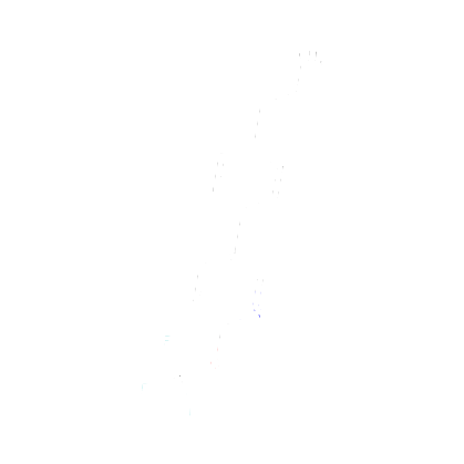 CCCc1ccc(-c2ccc(OC(F)(F)F)nc2)cc1